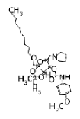 CCCCCCCCCCOC[C@@]12O[C@@H](CN3CCCC3)[C@@H](OC(=O)Nc3ccc(OC)cc3)[C@@H]1OC(C)(C)O2